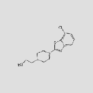 OCCC1CCN(c2nc3cccc(Cl)c3s2)CC1